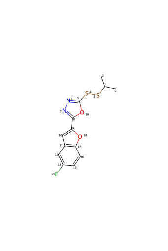 CC(C)SSc1nnc(-c2cc3cc(F)ccc3o2)o1